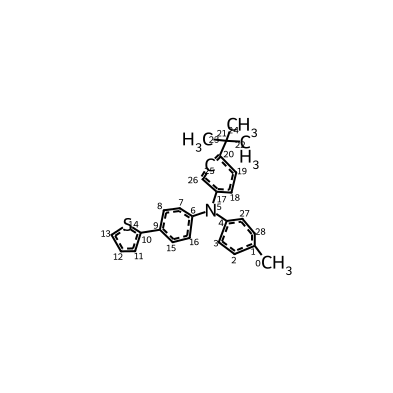 Cc1ccc(N(c2ccc(-c3cccs3)cc2)c2ccc(C(C)(C)C)cc2)cc1